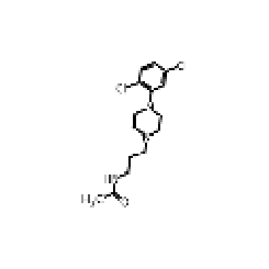 CC(=O)NCCCN1CCN(c2cc(Cl)ccc2Cl)CC1